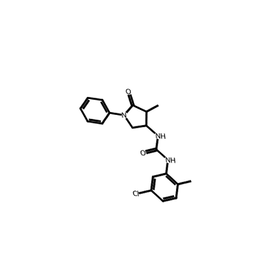 Cc1ccc(Cl)cc1NC(=O)NC1CN(c2ccccc2)C(=O)C1C